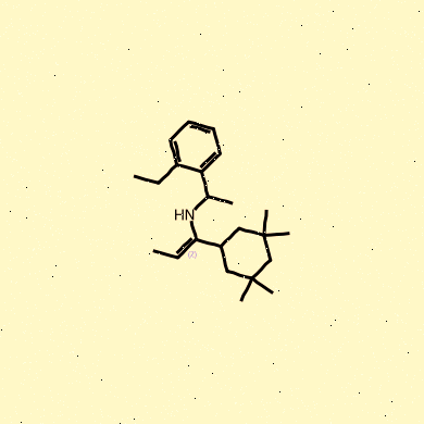 C/C=C(\NC(C)c1ccccc1CC)C1CC(C)(C)CC(C)(C)C1